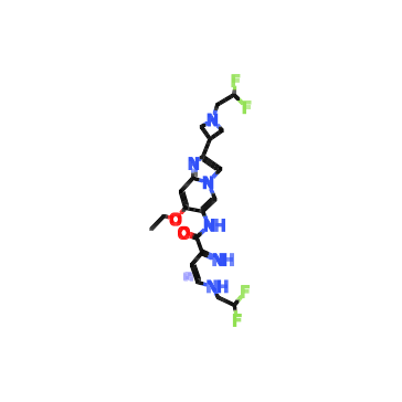 CCOc1cc2nc(C3CN(CC(F)F)C3)cn2cc1NC(=O)C(=N)/C=C\NCC(F)F